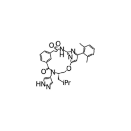 Cc1cccc(C)c1-c1cc2nc(n1)NS(=O)(=O)c1cccc(c1)C(=O)N(c1cn[nH]c1)[C@H](CC(C)C)CO2